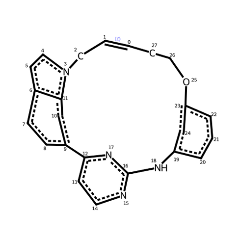 C1=C\Cn2ccc3ccc(cc32)-c2ccnc(n2)Nc2cccc(c2)OCC/1